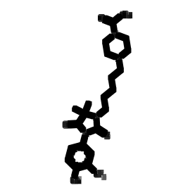 CC(C)(C)C(=O)N1CCN(CCCCCN2C(=S)N(c3ccc(C#N)c(C(F)(F)F)c3)C(=O)C2(C)C)CC1